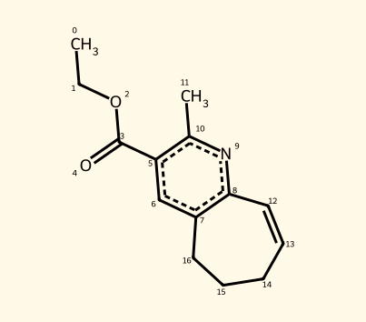 CCOC(=O)c1cc2c(nc1C)C=CCCC2